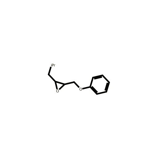 CC(C)CC1OC1COc1ccccc1